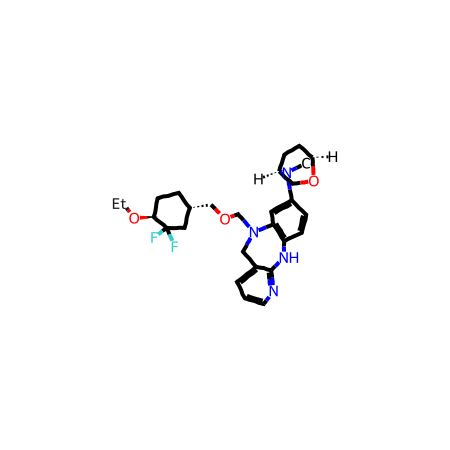 CCO[C@H]1CC[C@H](COCN2Cc3cccnc3Nc3ccc(N4C[C@H]5CC[C@@H]4CO5)cc32)CC1(F)F